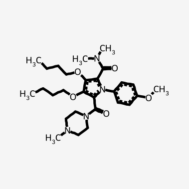 CCCCOc1c(OCCCC)c(C(=O)N2CCN(C)CC2)n(-c2ccc(OC)cc2)c1C(=O)N(C)C